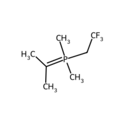 CC(C)=P(C)(C)CC(F)(F)F